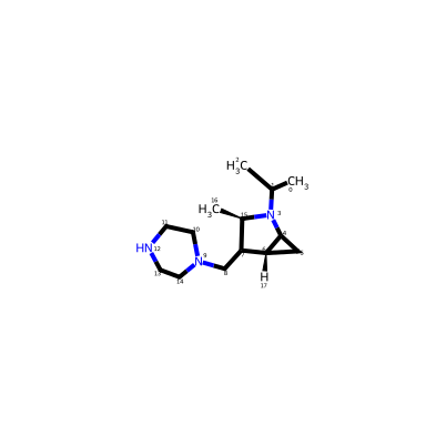 CC(C)N1C2C[C@@H]2C(CN2CCNCC2)[C@H]1C